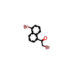 O=C(CBr)c1cccc2c(Br)cccc12